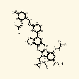 O=C(O)c1cc(OCC(F)F)c2nc(Cc3c(F)cc(-c4cccc(OCc5ccc(Cl)cc5OC(F)F)n4)c4c3OCO4)n(CC3(CF)CC3)c2c1